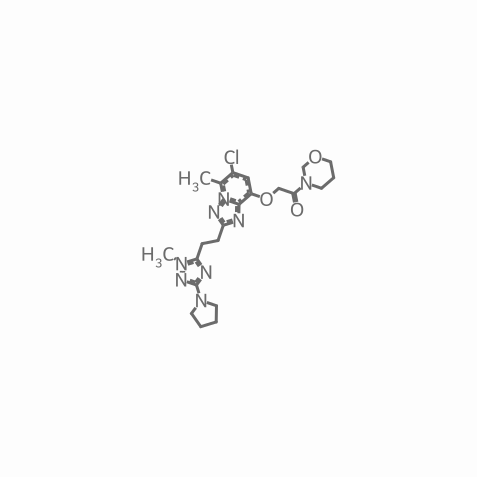 Cc1c(Cl)cc(OCC(=O)N2CCCOC2)c2nc(CCc3nc(N4CCCC4)nn3C)nn12